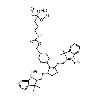 CCCN1c2ccccc2C(C)(C)C1C/C=C1\CCC(/C=C/C2=[N+](CCC)c3ccccc3C2(C)C)=C1N1CCC(COC(=O)NCCC[Si](OCC)(OCC)OCC)CC1